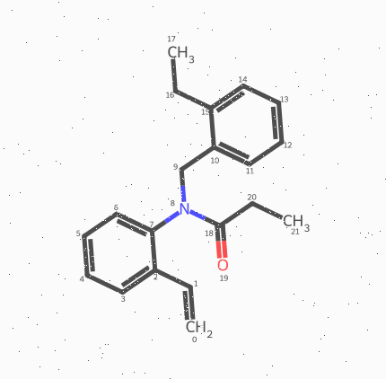 C=Cc1ccccc1N(Cc1ccccc1CC)C(=O)CC